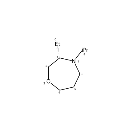 CC[C@H]1COCCCN1C(C)C